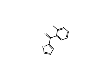 Cc1ccccc1C(=O)c1ccco1